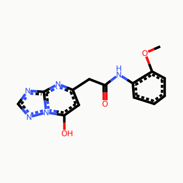 COc1ccccc1NC(=O)Cc1cc(O)n2ncnc2n1